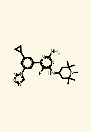 CN1C(C)(C)CC(Nc2nc(N)nc(-c3cc(C4CC4)cc(-n4cnnn4)c3)c2F)CC1(C)C